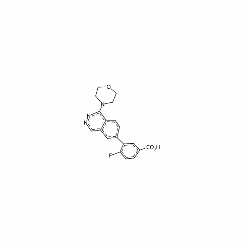 O=C(O)c1ccc(F)c(-c2ccc3c(N4CCOCC4)nncc3c2)c1